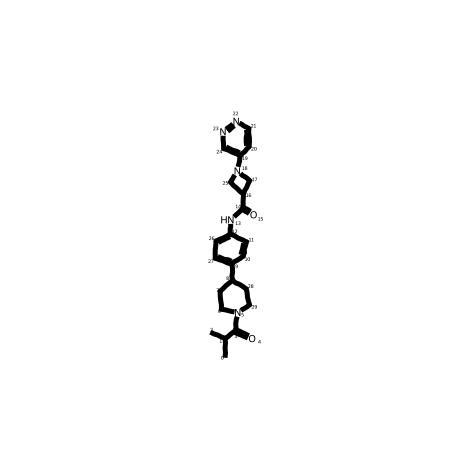 CC(C)C(=O)N1CCC(c2ccc(NC(=O)C3CN(c4ccnnc4)C3)cc2)CC1